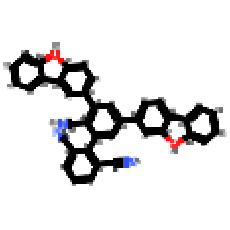 N#Cc1cccc(C#N)c1-c1cc(-c2ccc3c(c2)oc2ccccc23)cc(-c2ccc3oc4ccccc4c3c2)c1C#N